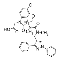 CN(Cc1cn(-c2ccccc2)nc1-c1ccccc1)C(=O)N(C)[C@@]1(C=O)C(=O)N(CC(=O)O)c2ccc(Cl)cc21